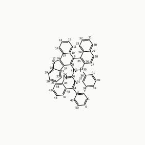 c1ccc(-c2nc(N3c4c(c5ccccc5c5sc6ccccc6c45)-c4c(ccc5ccccc45)P3c3ccccc3)nc3ccccc23)cc1